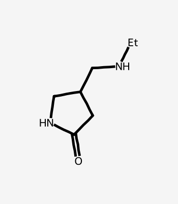 CCNCC1CNC(=O)C1